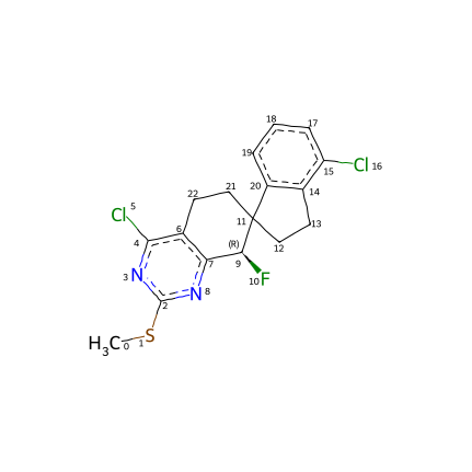 CSc1nc(Cl)c2c(n1)[C@H](F)C1(CCc3c(Cl)cccc31)CC2